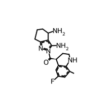 Cc1cc(F)cc2c1NCC[C@@H]2C(=O)n1nc2c(c1N)C(N)CCC2